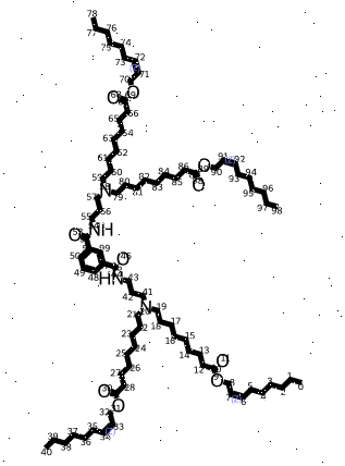 CCCCCC/C=C\COC(=O)CCCCCCCCN(CCCCCCCCC(=O)OC/C=C\CCCCCC)CCCNC(=O)c1cccc(C(=O)NCCCN(CCCCCCCCC(=O)OC/C=C\CCCCCC)CCCCCCCCC(=O)OC/C=C\CCCCCC)c1